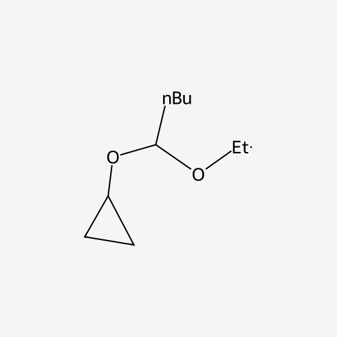 C[CH]OC(CCCC)OC1CC1